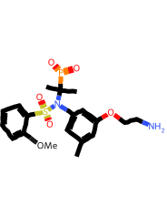 COc1ccccc1S(=O)(=O)N(c1cc(C)cc(OCCN)c1)C(C)(C)P(=O)=O